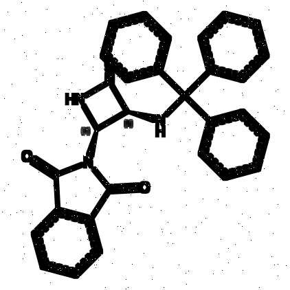 O=C1N[C@H](N2C(=O)c3ccccc3C2=O)[C@@H]1NC(c1ccccc1)(c1ccccc1)c1ccccc1